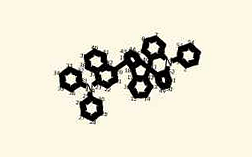 c1ccc(N2c3ccccc3C3(c4ccccc4-c4c(-c5ccc(N(c6ccccc6)c6ccccc6)c6ccccc56)cccc43)c3ccccc32)cc1